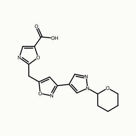 O=C(O)c1cnc(Cc2cc(-c3cnn(C4CCCCO4)c3)no2)o1